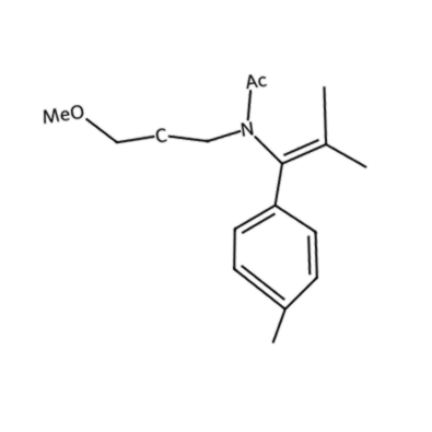 COCCCN(C(C)=O)C(=C(C)C)c1ccc(C)cc1